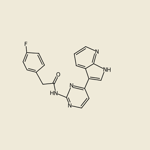 O=C(Cc1ccc(F)cc1)Nc1nccc(-c2c[nH]c3ncccc23)n1